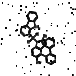 CCCc1ccc2c(c1-c1ccccc1-c1ccccc1)C=C(CC)[CH]2[Zr]([Cl])([Cl])[c]1cccc2c1[SiH2]c1ccccc1-2